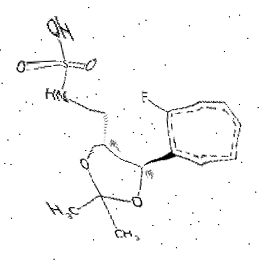 CC1(C)O[C@H](c2ccccc2F)[C@@H](CNS(=O)(=O)O)O1